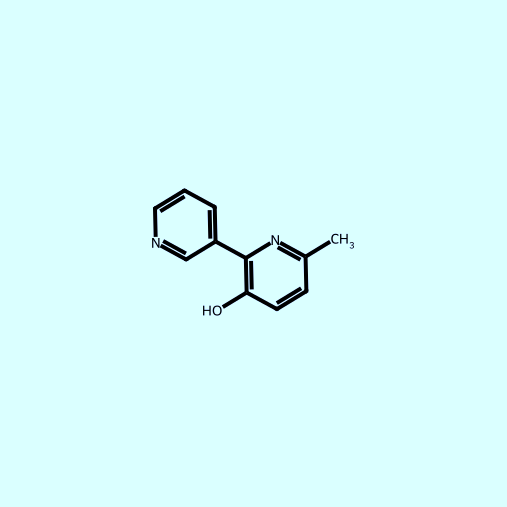 Cc1ccc(O)c(-c2cccnc2)n1